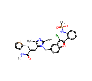 CCCc1nc(C)c(/C=C(\Cc2cccs2)C(=O)NCC)n1Cc1ccc2oc(-c3ccccc3NS(=O)(=O)C(F)(F)F)c(Br)c2c1